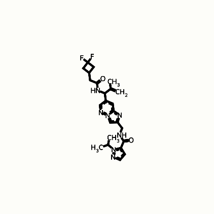 C=C(C)C(NC(=O)CC1CC(F)(F)C1)c1cnn2cc(CNC(=O)c3ccnn3C(C)C)nc2c1